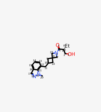 CC[C@H](CO)C(=O)N1CC2(CC(Cc3cccc4cnn(C)c34)C2)C1